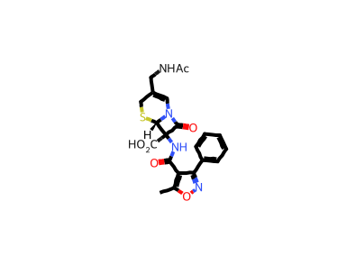 CC(=O)NCC1=CN2C(=O)C(NC(=O)c3c(-c4ccccc4)noc3C)(C(=O)O)[C@@H]2SC1